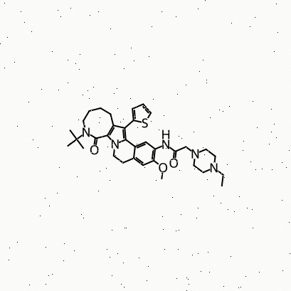 CCN1CCN(CC(=O)Nc2cc3c(cc2OC)CCn2c4c(c(-c5cccs5)c2-3)CCCCN(C(C)(C)C)C4=O)CC1